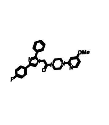 COc1ccnc(N2CCN(C(=O)Cn3cc(-c4ccc(F)cc4)nc3-c3ccccc3)CC2)c1